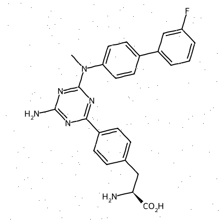 CN(c1ccc(-c2cccc(F)c2)cc1)c1nc(N)nc(-c2ccc(C[C@H](N)C(=O)O)cc2)n1